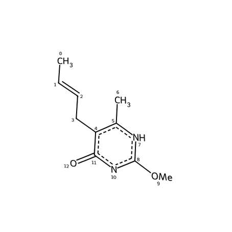 CC=CCc1c(C)[nH]c(OC)nc1=O